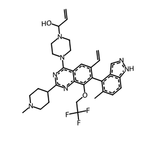 C=Cc1cc2c(N3CCN(C(O)C=C)CC3)nc(C3CCN(C)CC3)nc2c(OCC(F)(F)F)c1-c1c(C)ccc2[nH]ncc12